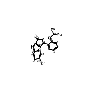 O=C1CC(c2ccccc2OC(F)F)c2c1nc1ccc(Br)cn21